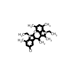 C=C(c1c(C)n(CC)c2c(C)cc(C)cc12)c1c(C)n(CC)c2c(C)cc(Cl)cc12